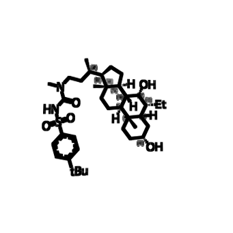 CC[C@H]1[C@@H](O)[C@@H]2[C@H](CC[C@]3(C)[C@@H]([C@H](C)CCN(C)C(=O)NS(=O)(=O)c4ccc(C(C)(C)C)cc4)CC[C@@H]23)[C@@]2(C)CC[C@@H](O)C[C@@H]12